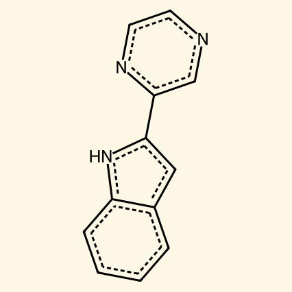 c1ccc2[nH]c(-c3cnccn3)cc2c1